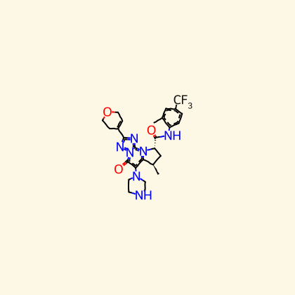 Cc1cc(C(F)(F)F)ccc1NC(=O)[C@@H]1C[C@@H](C)c2c(N3CCNCC3)c(=O)n3nc(C4=CCOCC4)nc3n21